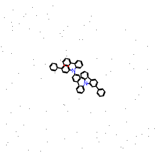 c1ccc(-c2ccc(N(c3ccc(-c4ccccc4-n4c5ccccc5c5ccc(-c6ccccc6)cc54)cc3)c3ccccc3-c3ccccc3)cc2)cc1